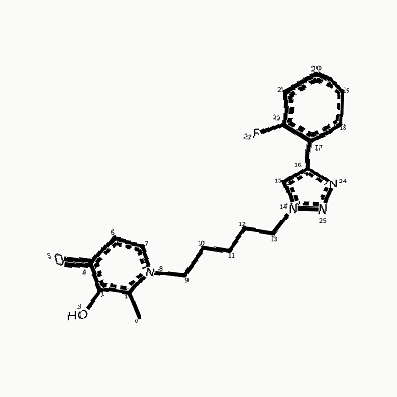 Cc1c(O)c(=O)ccn1CCCCCn1cc(-c2ccccc2F)nn1